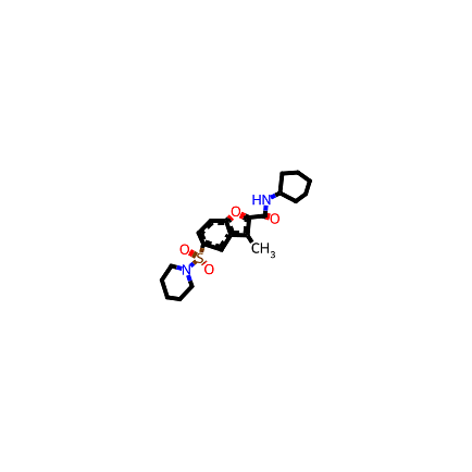 Cc1c(C(=O)NC2CCCCC2)oc2ccc(S(=O)(=O)N3CCCCC3)cc12